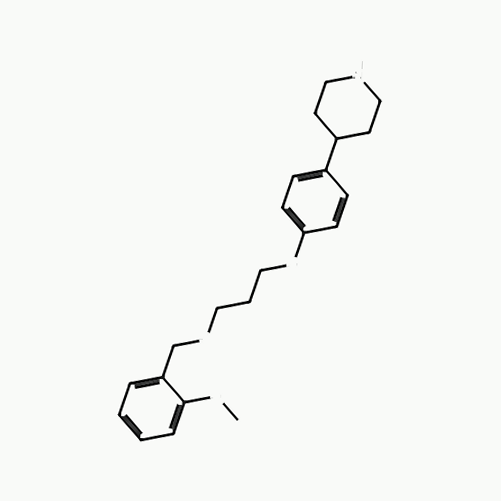 COc1ccccc1COCCCOc1ccc(C2CCNCC2)cc1